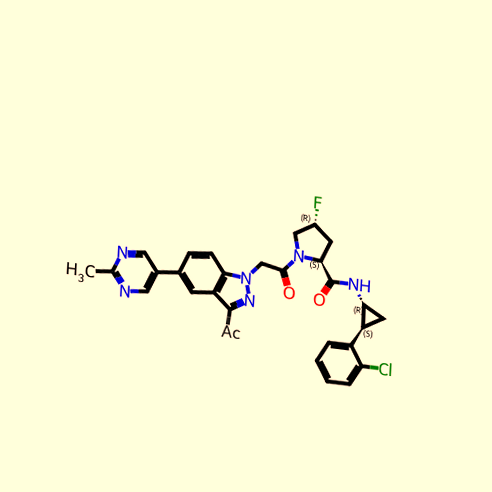 CC(=O)c1nn(CC(=O)N2C[C@H](F)C[C@H]2C(=O)N[C@@H]2C[C@H]2c2ccccc2Cl)c2ccc(-c3cnc(C)nc3)cc12